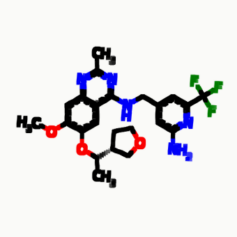 COc1cc2nc(C)nc(NCc3cc(N)nc(C(F)(F)F)c3)c2cc1OC(C)[C@@H]1CCOC1